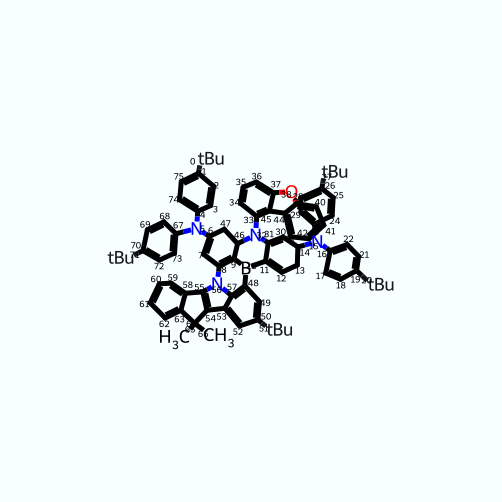 CC(C)(C)c1ccc(N(C2=CC3=C4B(C5=CCC(N(c6ccc(C(C)(C)C)cc6)c6ccc(C(C)(C)C)cc6)C=C5N(c5cccc6oc7ccccc7c56)C4C2)c2cc(C(C)(C)C)cc4c5c(n3c24)-c2ccccc2C5(C)C)c2ccc(C(C)(C)C)cc2)cc1